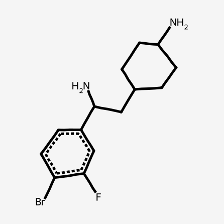 NC1CCC(CC(N)c2ccc(Br)c(F)c2)CC1